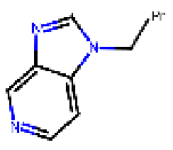 CC(C)Cn1[c]nc2cnccc21